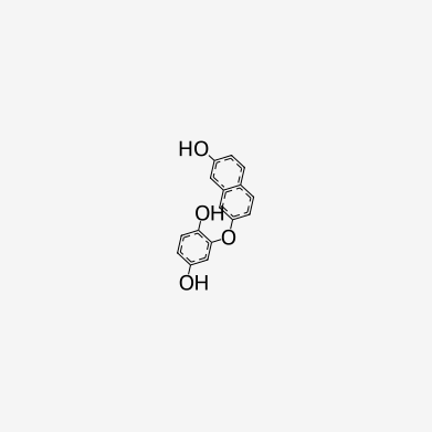 Oc1ccc(O)c(Oc2ccc3ccc(O)cc3c2)c1